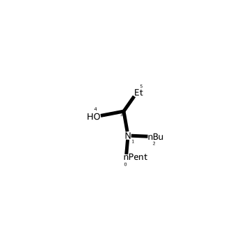 CCCCCN(CCCC)C(O)CC